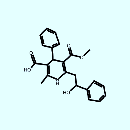 COC(=O)C1=C(CC(O)c2ccccc2)NC(C)=C(C(=O)O)C1c1ccccc1